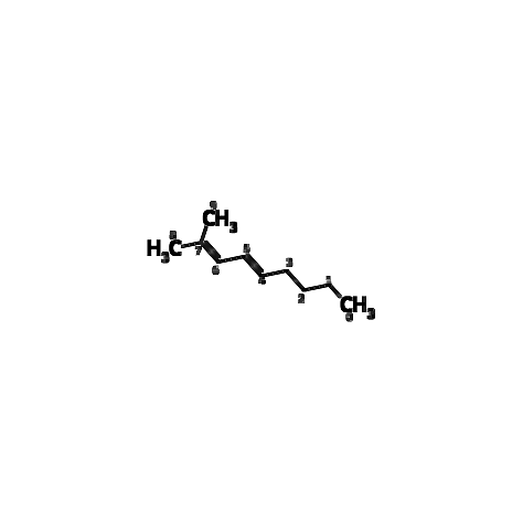 CCCC/C=C/C=C(C)C